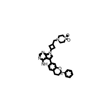 Nc1ncnc2c1c(-c1ccc3c(c1)O[C@@H](c1ccccc1)CC3)cn2C1CC(CN2CCS(=O)(=O)CC2)C1